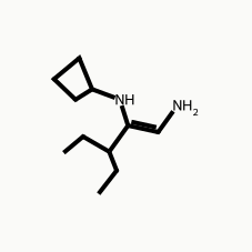 CCC(CC)/C(=C/N)NC1CCC1